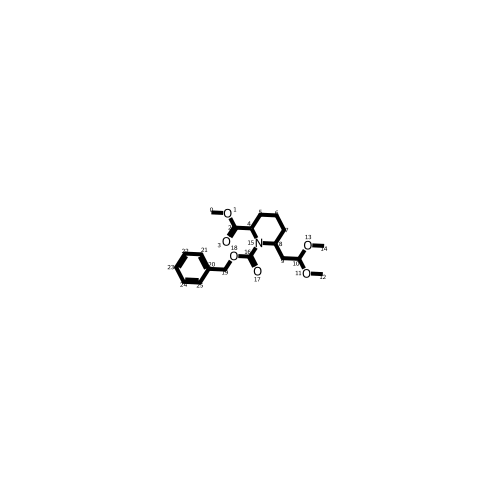 COC(=O)C1CCCC(CC(OC)OC)N1C(=O)OCc1ccccc1